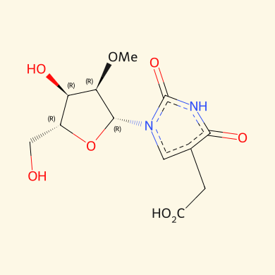 CO[C@@H]1[C@H](O)[C@@H](CO)O[C@H]1n1cc(CC(=O)O)c(=O)[nH]c1=O